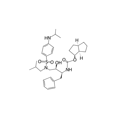 CC(C)CN(C[C@@H](O)[C@H](Cc1ccccc1)NC(=O)O[C@H]1CC[C@H]2CCC[C@H]21)S(=O)(=O)c1ccc(NC(C)C)cc1